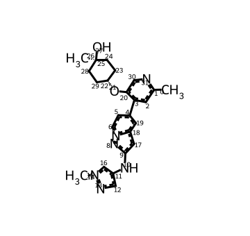 Cc1cc(-c2ccn3nc(Nc4cnn(C)c4)cc3c2)c(O[C@H]2CC[C@](C)(O)CC2)cn1